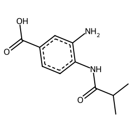 CC(C)C(=O)Nc1ccc(C(=O)O)cc1N